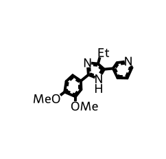 CCc1nc(-c2ccc(OC)c(OC)c2)[nH]c1-c1cccnc1